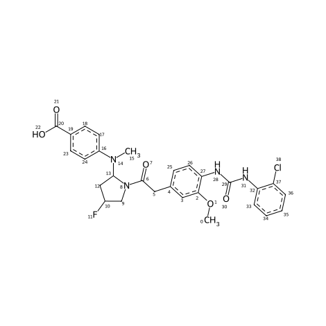 COc1cc(CC(=O)N2CC(F)CC2N(C)c2ccc(C(=O)O)cc2)ccc1NC(=O)Nc1ccccc1Cl